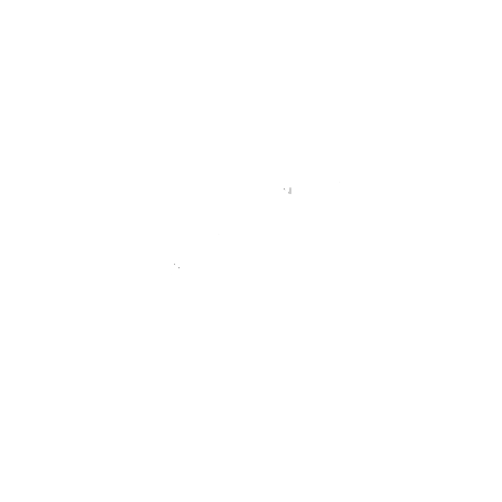 C=CCCCCCCC1CO1.NC(CSSCC(N)C(=O)O)C(=O)O